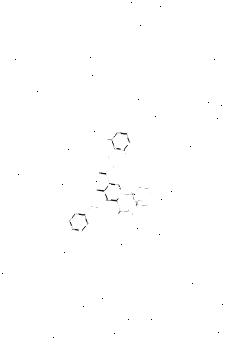 O=C(NCc1c(F)cc(F)cc1F)c1cn2c(c(OCc3ccccc3)c1=O)C(=O)N[C@H]1COCC[C@H]12